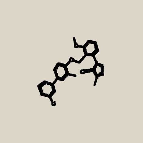 COc1cccc(-n2nnn(C)c2=O)c1COc1ccc(-c2cccc(Cl)c2)cc1C